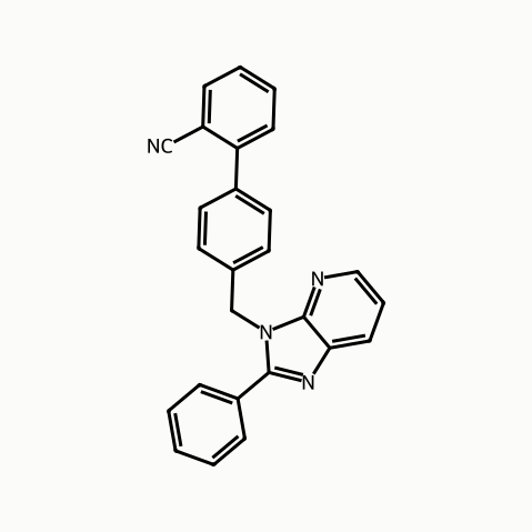 N#Cc1ccccc1-c1ccc(Cn2c(-c3ccccc3)nc3cccnc32)cc1